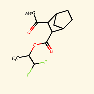 COC(=O)C1C2CCC(C2)C1C(=O)OC(C(F)F)C(F)(F)F